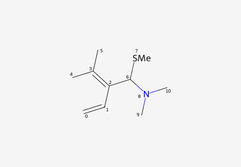 C=CC(=C(C)C)C(SC)N(C)C